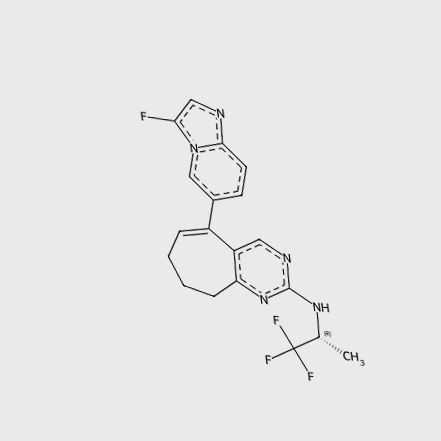 C[C@@H](Nc1ncc2c(n1)CCCC=C2c1ccc2ncc(F)n2c1)C(F)(F)F